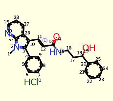 Cl.Cn1c(-c2ccccc2)c(/C=C/C(=O)NCCC(O)c2ccccc2)c2cccnc21